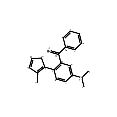 CC1=C(c2ccc(N(C)C)cc2C(=N)c2ccccc2)CC=C1